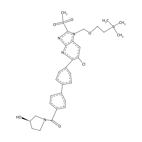 C[Si](C)(C)CCOCn1c(S(C)(=O)=O)nc2nc(-c3ccc(-c4ccc(C(=O)N5CC[C@@H](O)C5)cc4)cc3)c(Cl)cc21